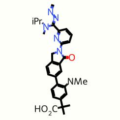 C=N/N=C(/c1cccc(N2Cc3ccc(-c4ccc(C(C)(C)C(=O)O)cc4NC)cc3C2=O)n1)N(C)C(C)C